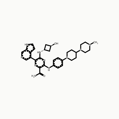 CN1CCN(C2CCN(c3ccc(Nc4nc(N[C@H]5C[C@H](O)C5)c(-c5cncc6[nH]ccc56)nc4C(N)=O)cc3)CC2)CC1